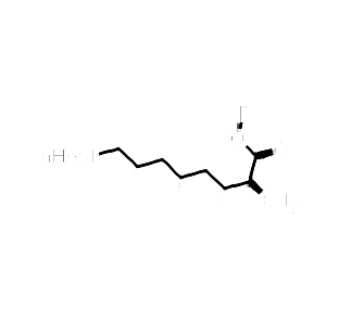 C=C(CCCCCCCCCCCCC)C(=O)OF